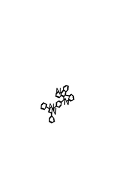 c1ccc(-c2cc(-c3ccccc3)nc(-c3ccc(-c4nc5ccccc5c5c6ccccc6c6ncccc6c45)cc3)n2)cc1